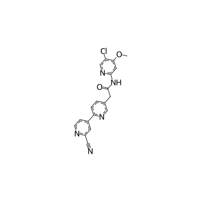 COc1cc(NC(=O)Cc2ccc(-c3ccnc(C#N)c3)nc2)ncc1Cl